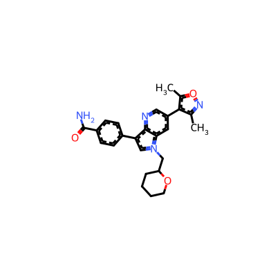 Cc1noc(C)c1-c1cnc2c(-c3ccc(C(N)=O)cc3)cn(CC3CCCCO3)c2c1